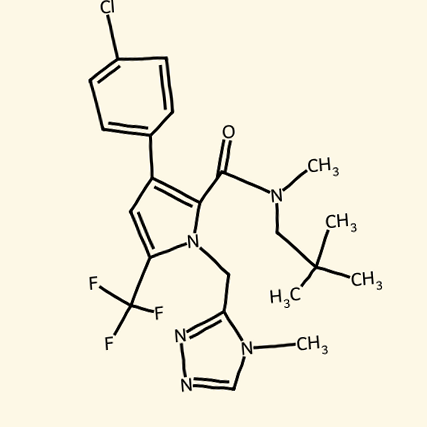 CN(CC(C)(C)C)C(=O)c1c(-c2ccc(Cl)cc2)cc(C(F)(F)F)n1Cc1nncn1C